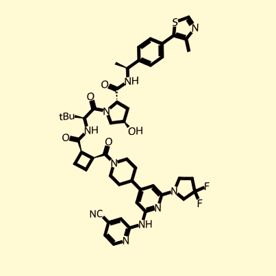 Cc1ncsc1-c1ccc([C@H](C)NC(=O)[C@@H]2C[C@@H](O)CN2C(=O)[C@@H](NC(=O)[C@@H]2CC[C@@H]2C(=O)N2CCC(c3cc(Nc4cc(C#N)ccn4)nc(N4CCC(F)(F)C4)c3)CC2)C(C)(C)C)cc1